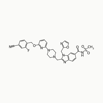 CS(=O)(=O)NC(=O)c1ccc2nc(CN3CCN(c4cccc(OCc5ccc(C#N)cc5F)n4)CC3)n(Cc3ncco3)c2c1